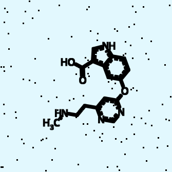 CNCCc1cc(Oc2ccc3[nH]cc(C(=O)O)c3c2)ncn1